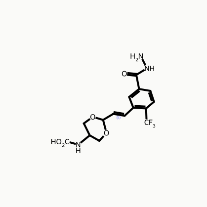 NNC(=O)c1ccc(C(F)(F)F)c(/C=C/C2OCC(NC(=O)O)CO2)c1